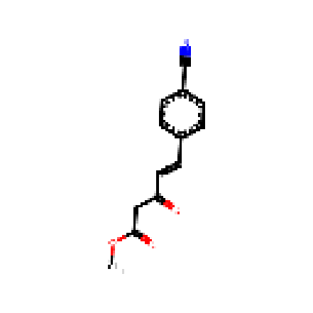 COC(=O)CC(=O)C=Cc1ccc(C#N)cc1